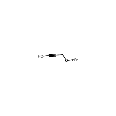 CCCOCC#CO